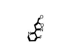 O=Cc1cc(-c2ncccc2F)no1